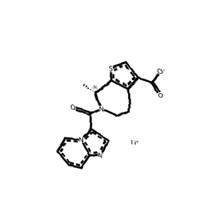 C[C@@H]1c2scc(C(=O)[O-])c2CCN1C(=O)c1cnc2ccccn12.[Li+]